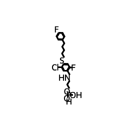 O=[PH](O)OCCCNCc1cc(Cl)c(SCCCCCc2ccc(F)cc2)cc1F